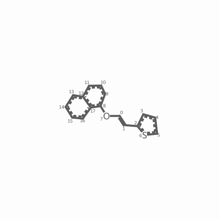 C(=Cc1cccs1)Oc1cccc2ccccc12